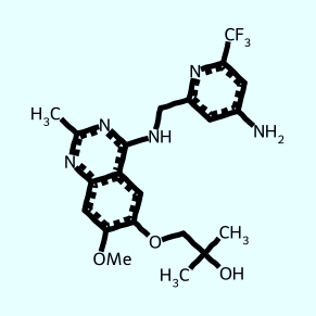 COc1cc2nc(C)nc(NCc3cc(N)cc(C(F)(F)F)n3)c2cc1OCC(C)(C)O